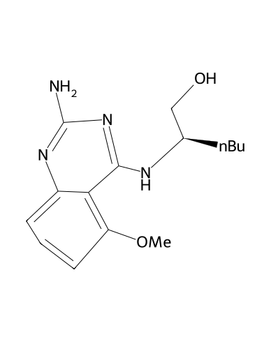 CCCC[C@H](CO)Nc1nc(N)nc2cccc(OC)c12